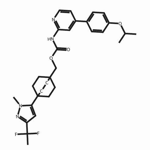 CC(C)Oc1ccc(-c2ccnc(NC(=O)OCC34CCC(c5cc(C(C)(F)F)nn5C)(CC3)CC4)c2)cc1